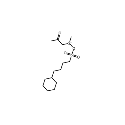 CC(=O)C[S+](C)OS(=O)(=O)CCCCC1CCCCC1